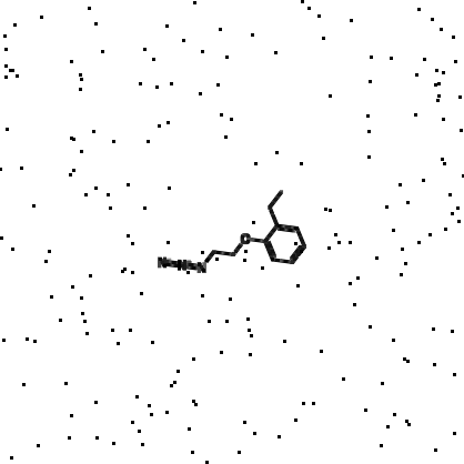 CCc1ccccc1OCCN=[N+]=[N-]